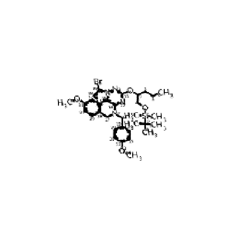 CCCC(CO[Si](C)(C)C(C)(C)C)Oc1nc(N(Cc2ccc(OC)cc2)Cc2ccc(OC)cc2)c2ncc(Br)n2n1